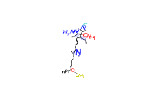 C=N/C(CC=C/C(=C\C)C(O)(/C(=C/C)N(C)N)C1CN(F)C1)=C(/C)CCC=CC(CCC)OCCS